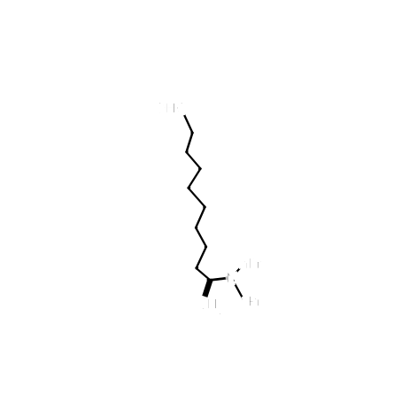 C=C(CCCCCCCCC=O)N(CCC)CCC